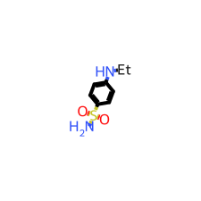 [CH2]CNc1ccc(S(N)(=O)=O)cc1